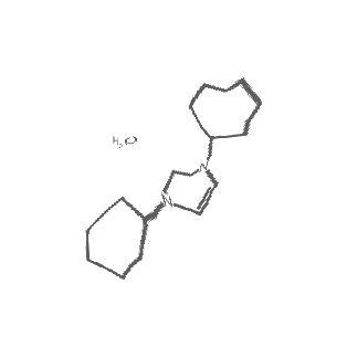 C1=CN(C2CCCCC2)CN1C1CCCCC1.O